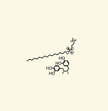 CCCCCCCCCCCCCCCCOP(=O)([O-])OCC[N+](C)(C)C.C[C@H](Cc1ccc(O)c(O)c1)[C@@H](C)Cc1ccc(O)c(O)c1